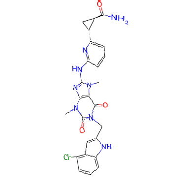 Cn1c(Nc2cccc([C@@H]3C[C@H]3C(N)=O)n2)nc2c1c(=O)n(Cc1cc3c(Cl)cccc3[nH]1)c(=O)n2C